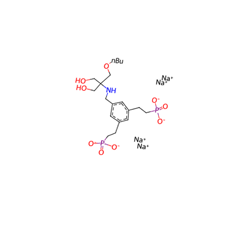 CCCCOCC(CO)(CO)NCc1cc(CCP(=O)([O-])[O-])cc(CCP(=O)([O-])[O-])c1.[Na+].[Na+].[Na+].[Na+]